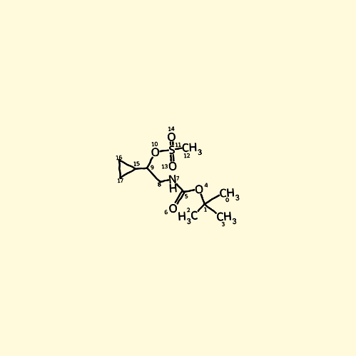 CC(C)(C)OC(=O)NCC(OS(C)(=O)=O)C1CC1